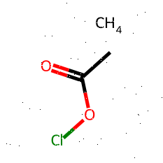 C.CC(=O)OCl